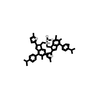 Cc1ccc(C2=Cc3c(cc(C)c(C)c3-c3ccc(C(C)C)cc3)C2C[SiH](CC2C(c3ccc(C)o3)=Cc3c2cc(C)c(C)c3-c2ccc(C(C)C)cc2)[Zr]([Cl])[Cl])o1